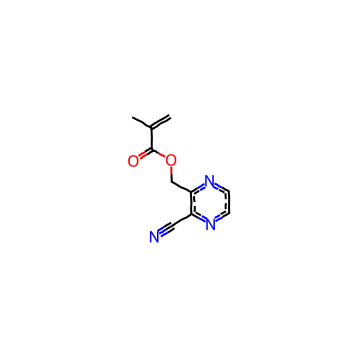 C=C(C)C(=O)OCc1nccnc1C#N